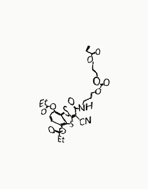 C=CC(=O)OCCCOC(=O)OCCCNC(=O)C(C#N)=C1Sc2c(OC(=O)CC)ccc(OC(=O)CC)c2S1